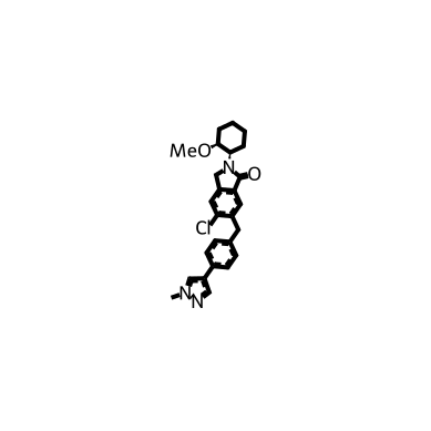 CO[C@H]1CCCC[C@@H]1N1Cc2cc(Cl)c(Cc3ccc(-c4cnn(C)c4)cc3)cc2C1=O